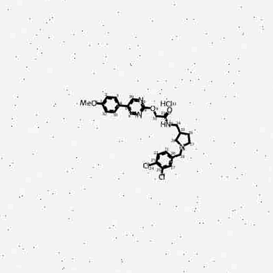 COc1ccc(-c2cnc(OCC(=O)NCC3CCN(Cc4ccc(Cl)c(Cl)c4)C3)nc2)cc1.Cl